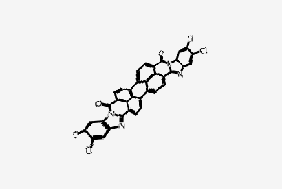 O=c1c2ccc3c4ccc5c(=O)n6c7cc(Cl)c(Cl)cc7nc6c6ccc(c7ccc(c8n1C1C=C(Cl)C(Cl)=CC1N=8)c2c37)c4c56